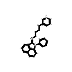 c1ccc(N2C(=NCCCCc3cccnc3)c3cccc4cccc2c34)cc1